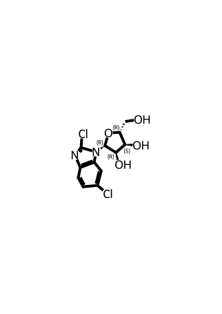 OC[C@H]1O[C@@H](n2c(Cl)nc3ccc(Cl)cc32)[C@H](O)[C@@H]1O